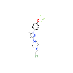 Cc1cc(N2CCN(CCCl)CC2)nn1-c1ccc(OC(F)(F)F)cc1